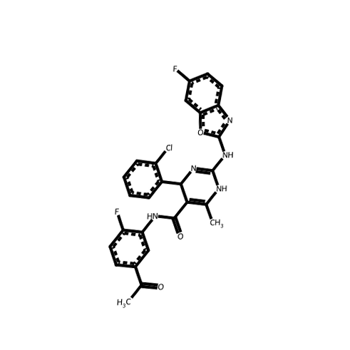 CC(=O)c1ccc(F)c(NC(=O)C2=C(C)NC(Nc3nc4ccc(F)cc4o3)=NC2c2ccccc2Cl)c1